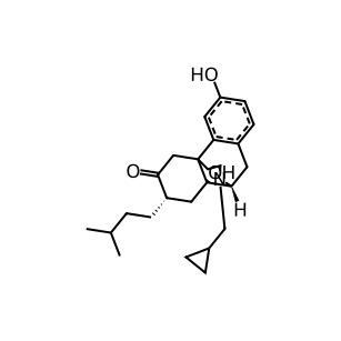 CC(C)CC[C@H]1C[C@@]2(O)[C@H]3Cc4ccc(O)cc4C2(CCN3CC2CC2)CC1=O